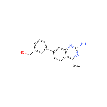 CNc1nc(N)nc2cc(-c3cccc(CO)c3)ccc12